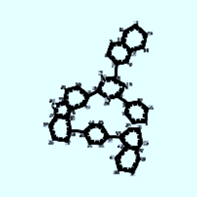 c1ccc(-c2nc(-c3ccc4ccccc4c3)nc(-c3ccc4oc5cccc(-c6ccc(-c7cccc8ccccc78)cc6)c5c4c3)n2)cc1